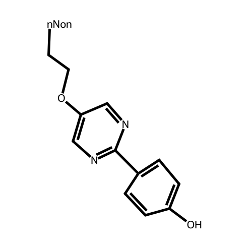 CCCCCCCCCCCOc1cnc(-c2ccc(O)cc2)nc1